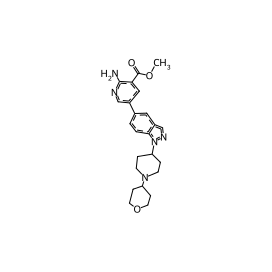 COC(=O)c1cc(-c2ccc3c(cnn3C3CCN(C4CCOCC4)CC3)c2)cnc1N